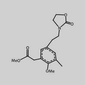 COC(=O)Cc1cc(CCN2CCOC2=O)cc(C)c1OC